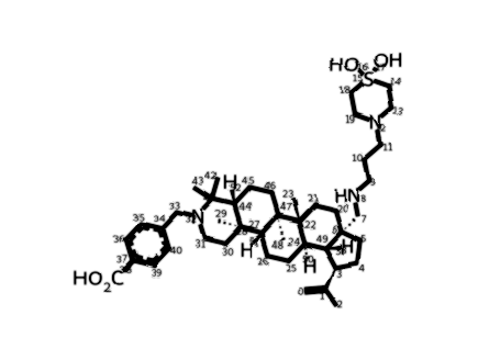 C=C(C)[C@@H]1CC[C@]2(CNCCCN3CCS(O)(O)CC3)CC[C@]3(C)[C@H](CC[C@@H]4[C@@]5(C)CCN(Cc6ccc(C(=O)O)cc6)C(C)(C)[C@@H]5CC[C@]43C)[C@@H]12